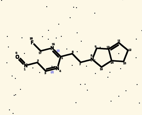 O=NC/C=N\C(CCN1CC2=CCCC2C1)=N/CF